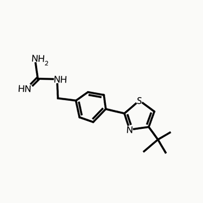 CC(C)(C)c1csc(-c2ccc(CNC(=N)N)cc2)n1